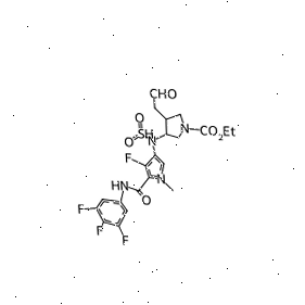 CCOC(=O)N1CC(CC=O)C(N(c2cn(C)c(C(=O)Nc3cc(F)c(F)c(F)c3)c2F)[SH](=O)=O)C1